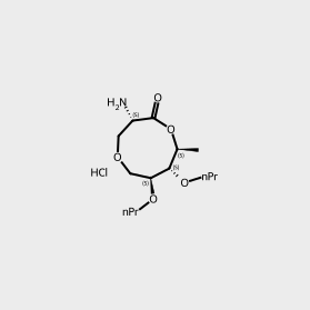 CCCO[C@H]1[C@H](C)OC(=O)[C@@H](N)COC[C@@H]1OCCC.Cl